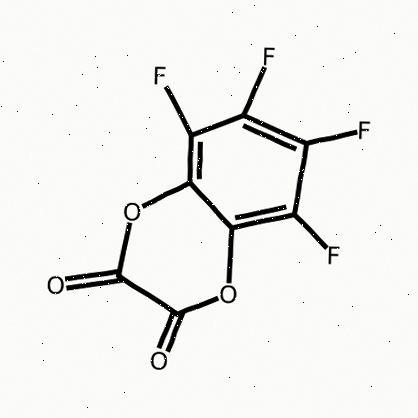 O=c1oc2c(F)c(F)c(F)c(F)c2oc1=O